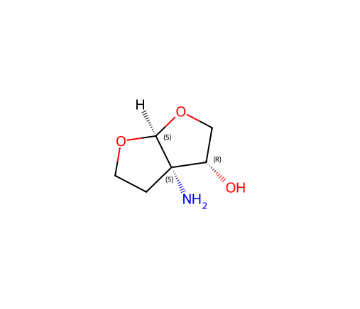 N[C@]12CCO[C@H]1OC[C@@H]2O